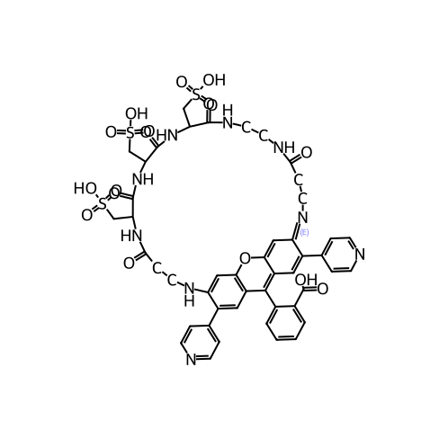 O=C1CC/N=c2\cc3c(cc2-c2ccncc2)=C(c2ccccc2C(=O)O)c2cc(-c4ccncc4)c(cc2O3)NCCC(=O)NC(CS(=O)(=O)O)C(=O)NC(CS(=O)(=O)O)C(=O)NC(CS(=O)(=O)O)C(=O)NCCN1